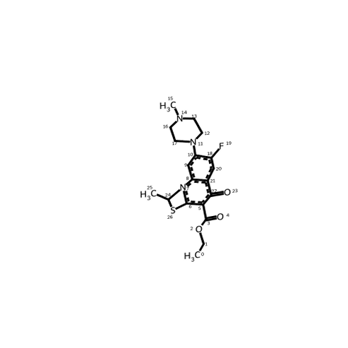 CCOC(=O)c1c2n(c3cc(N4CCN(C)CC4)c(F)cc3c1=O)C(C)S2